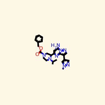 CC(C)N1CCN(C(=O)OCc2ccccc2)CC1c1cc(N)n2ncc(-c3cnn(C)c3)c2n1